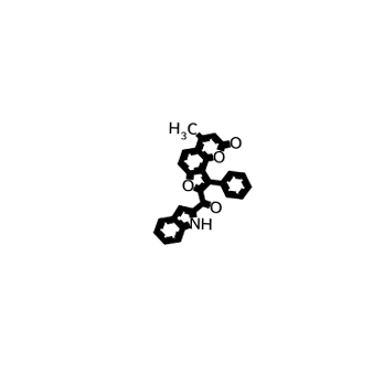 Cc1cc(=O)oc2c1ccc1oc(C(=O)c3cc4ccccc4[nH]3)c(-c3ccccc3)c12